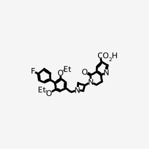 CCOc1cc(CN2CC(N3CCc4ncc(C(=O)O)cc4C3=O)C2)cc(OCC)c1-c1ccc(F)cc1